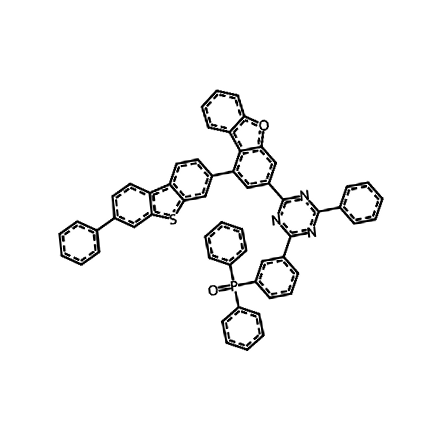 O=P(c1ccccc1)(c1ccccc1)c1cccc(-c2nc(-c3ccccc3)nc(-c3cc(-c4ccc5c(c4)sc4cc(-c6ccccc6)ccc45)c4c(c3)oc3ccccc34)n2)c1